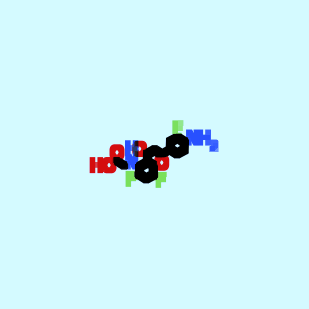 Nc1ccc(-c2cc(=O)c3c(NCC(=O)O)c(F)cc(F)c3o2)cc1F